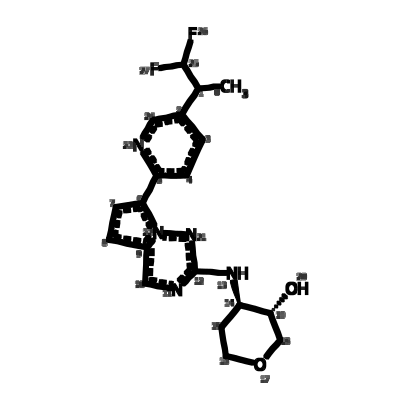 CC(c1ccc(-c2ccc3cnc(N[C@@H]4CCOC[C@H]4O)nn23)nc1)C(F)F